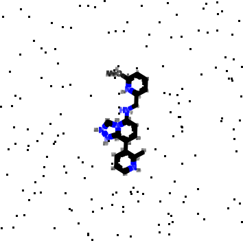 COc1cccc(CNc2ccc(-c3cccnc3C)c3nncn23)n1